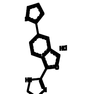 Cl.c1csc(-c2ccc3c(C4=NCCN4)occ3c2)c1